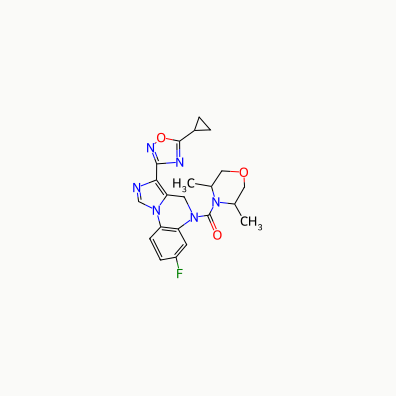 CC1COCC(C)N1C(=O)N1Cc2c(-c3noc(C4CC4)n3)ncn2-c2ccc(F)cc21